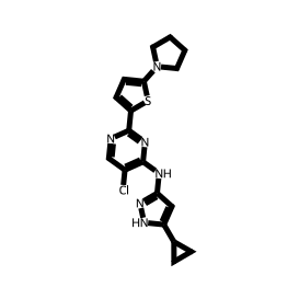 Clc1cnc(-c2ccc(N3CCCC3)s2)nc1Nc1cc(C2CC2)[nH]n1